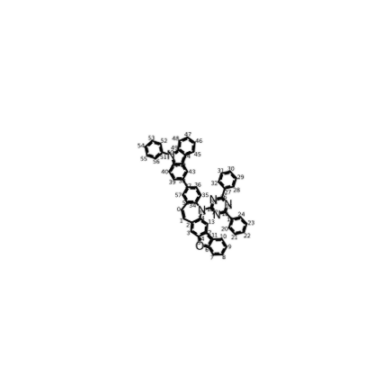 C1=Cc2cc3oc4ccccc4c3cc2N(c2nc(-c3ccccc3)nc(-c3ccccc3)n2)c2ccc(-c3ccc4c(c3)c3ccccc3n4-c3ccccc3)cc21